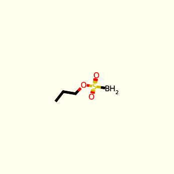 BS(=O)(=O)OCCC